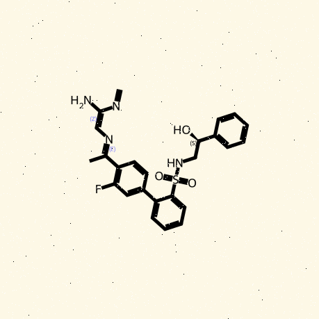 C=N/C(N)=C\N=C(/C)c1ccc(-c2ccccc2S(=O)(=O)NC[C@@H](O)c2ccccc2)cc1F